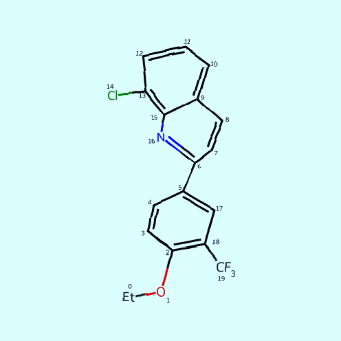 [CH2]COc1ccc(-c2ccc3cccc(Cl)c3n2)cc1C(F)(F)F